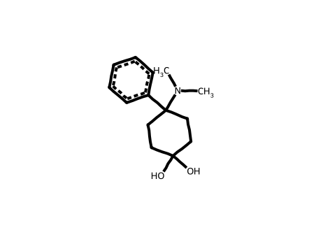 CN(C)C1(c2ccccc2)CCC(O)(O)CC1